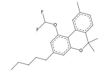 CCCCCc1cc(OC(F)F)c2c(c1)OC(C)(C)c1ccc(C)cc1-2